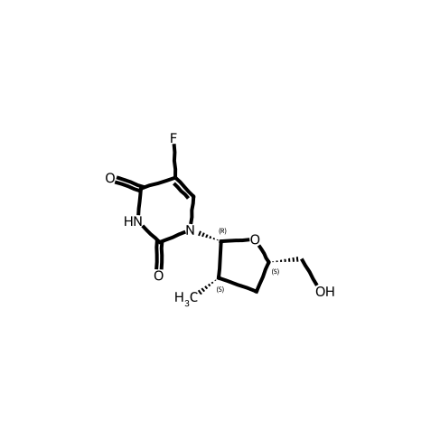 C[C@H]1C[C@@H](CO)O[C@H]1n1cc(F)c(=O)[nH]c1=O